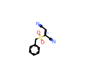 N#C/C=C(/C#N)S(=O)(=O)Cc1ccccc1